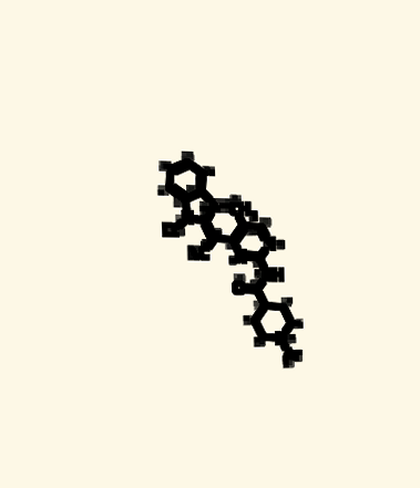 CCN1C(=C(C#N)c2nc(NC(=O)C3CCN(C(C)=O)CC3)ncc2C)Nc2ccccc21